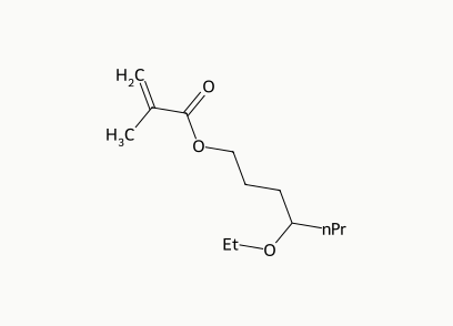 C=C(C)C(=O)OCCCC(CCC)OCC